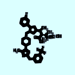 Cc1nc(Cc2cccc(C(F)(F)F)c2)sc1C1CCN(CC2CC(N(C)[C@@H](C(=O)O)C(C)C)CC2c2cccc(F)c2)CC1.Cl.Cl.Cl